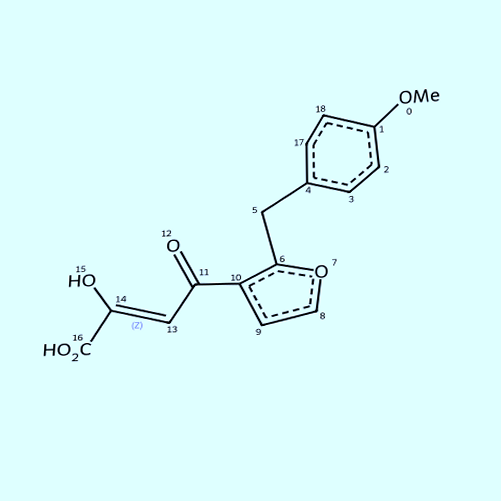 COc1ccc(Cc2occc2C(=O)/C=C(\O)C(=O)O)cc1